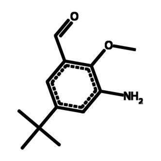 COc1c(N)cc(C(C)(C)C)cc1C=O